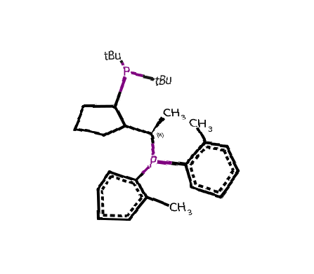 Cc1ccccc1P(c1ccccc1C)[C@H](C)C1CCCC1P(C(C)(C)C)C(C)(C)C